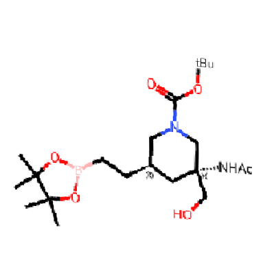 CC(=O)N[C@]1(CO)C[C@@H](CCB2OC(C)(C)C(C)(C)O2)CN(C(=O)OC(C)(C)C)C1